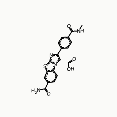 CNC(=O)c1ccc(-c2cn3c(n2)sc2cc(C(N)=O)ccc23)cc1.O=CO